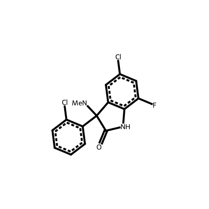 CNC1(c2ccccc2Cl)C(=O)Nc2c(F)cc(Cl)cc21